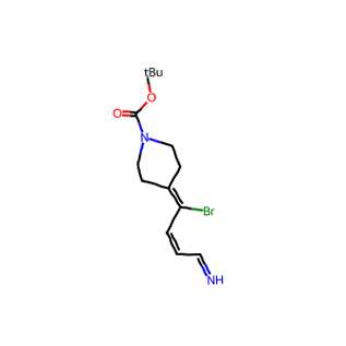 CC(C)(C)OC(=O)N1CCC(=C(Br)/C=C\C=N)CC1